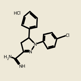 Cl.N=C(N)C1=NN(c2ccc(Cl)cc2)C(c2ccccc2)C1